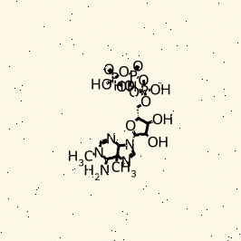 CN1C=NC2N([C@@H]3O[C@H](COP(=O)(O)OP(=O)(O)OP(=O)(O)O)C(O)C3O)C=NC2(C)C1N